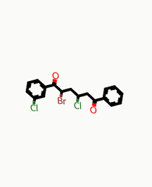 O=C(CC(Cl)CC(Br)C(=O)c1cccc(Cl)c1)c1ccccc1